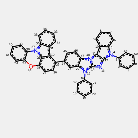 c1ccc(-n2c3ccccc3c3c2nc2n(-c4ccccc4)c4cc(-c5ccc6c7c5c5ccccc5n7-c5ccccc5O6)ccc4n32)cc1